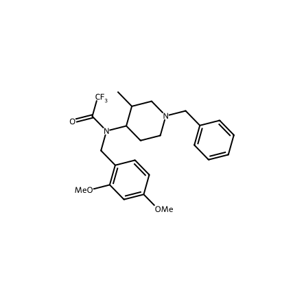 COc1ccc(CN(C(=O)C(F)(F)F)C2CCN(Cc3ccccc3)CC2C)c(OC)c1